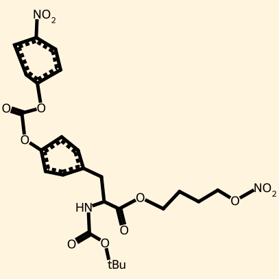 CC(C)(C)OC(=O)NC(Cc1ccc(OC(=O)Oc2ccc([N+](=O)[O-])cc2)cc1)C(=O)OCCCCO[N+](=O)[O-]